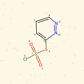 O=S(=O)(Cl)Sc1cccnn1